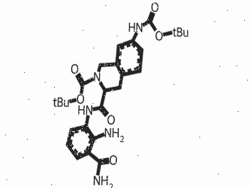 CC(C)(C)OC(=O)Nc1ccc2c(c1)CN(C(=O)OC(C)(C)C)C(C(=O)Nc1cccc(C(N)=O)c1N)C2